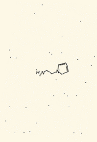 NCCN1C=CC=CC1